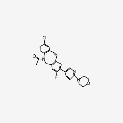 CC(=O)N1Cc2cc(F)c(-c3ccc(N4CCOCC4)nc3)nc2C=Cc2cc(Cl)ccc21